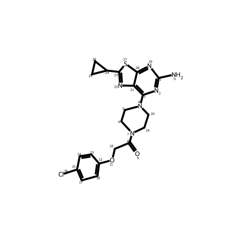 Nc1nc(N2CCN(C(=O)COc3ccc(Cl)cc3)CC2)c2nc(C3CC3)sc2n1